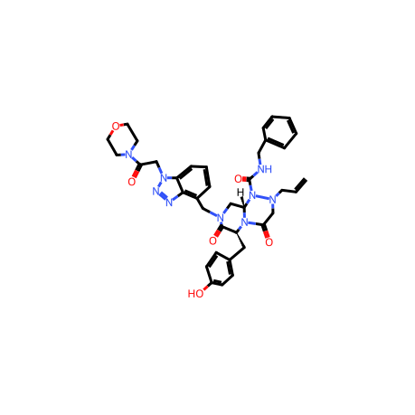 C=CCN1CC(=O)N2[C@@H](Cc3ccc(O)cc3)C(=O)N(Cc3cccc4c3nnn4CC(=O)N3CCOCC3)C[C@@H]2N1C(=O)NCc1ccccc1